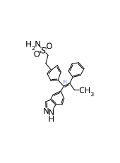 CC/C(=C(/c1ccc(CCS(N)(=O)=O)cc1)c1ccc2[nH]ncc2c1)c1ccccc1